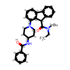 CCCCN(CC(F)(F)F)C(=O)C1c2ccccc2-c2cccc(N3CCC(NC(=O)c4ccccc4)CC3)c21